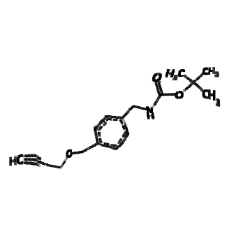 C#CCOCc1ccc(CNC(=O)OC(C)(C)C)cc1